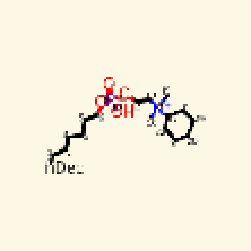 CCCCCCCCCCCCCCCCOP(=O)(O)OCC[N+](C)(C)C1CCCCC1